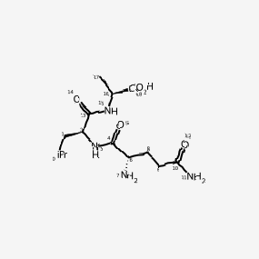 CC(C)C[C@H](NC(=O)[C@@H](N)CCC(N)=O)C(=O)N[C@@H](C)C(=O)O